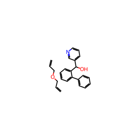 C=CCOCC=C.OC(c1cccnc1)c1ccccc1-c1ccccc1